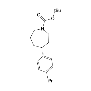 CC(C)c1ccc([C@@H]2CCCN(C(=O)OC(C)(C)C)CC2)cc1